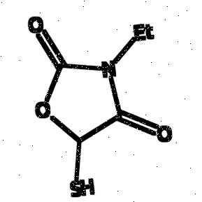 CCN1C(=O)OC(S)C1=O